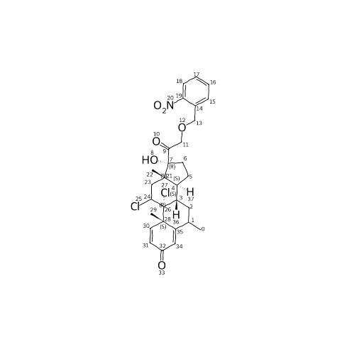 CC1C[C@H]2[C@@H]3CC[C@](O)(C(=O)COCc4ccccc4[N+](=O)[O-])[C@@]3(C)CC(Cl)[C@]2(Cl)[C@@]2(C)C=CC(=O)C=C12